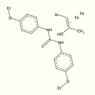 CC(=O)/C=C(/C)O.CCOc1ccc(NC(=S)Nc2ccc(OCC)cc2)cc1.[Fe].[Fe]